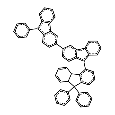 C1=CC2c3c(-n4c5ccccc5c5cc(-c6ccc7c(c6)c6ccccc6n7-c6ccccc6)ccc54)cccc3C(c3ccccc3)(c3ccccc3)C2C=C1